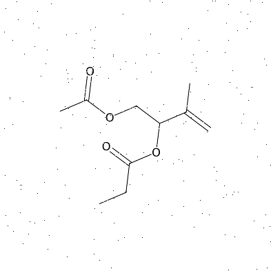 C=C(C)C(COC(C)=O)OC(=O)CC